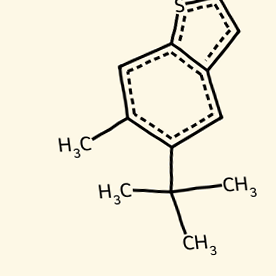 Cc1cc2sccc2cc1C(C)(C)C